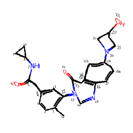 Cc1ccc(C(=O)NC2CC2)cc1-n1cnc2ccc(N3CC(O)C3)cc2c1=O